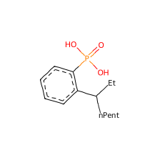 CCCCCC(CC)c1ccccc1P(=O)(O)O